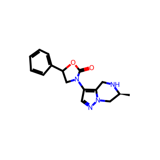 C[C@H]1Cn2ncc(N3CC(c4ccccc4)OC3=O)c2CN1